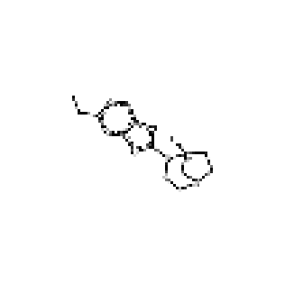 CCc1cnc2nc(N3CCN4CC[C@@H]3C4)oc2c1